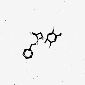 CC1([C@H]2CC(=O)N2OCc2ccccc2)C=C(F)C(F)=CC1F